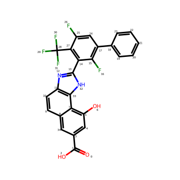 O=C(O)c1cc(O)c2c(ccc3nc(-c4c(F)c(-c5ccccc5)cc(F)c4C(F)(F)F)[nH]c32)c1